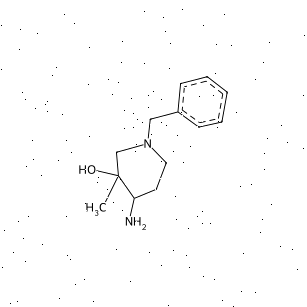 CC1(O)CN(Cc2ccccc2)CCC1N